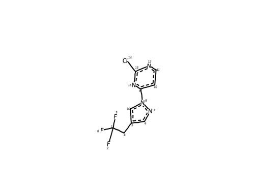 FC(F)(F)Cc1cnn(-c2ccnc(Cl)n2)c1